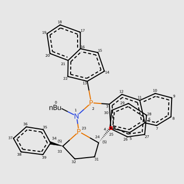 CCCCN(P(c1ccc2ccccc2c1)c1ccc2ccccc2c1)P1[C@H](c2ccccc2)CC[C@H]1c1ccccc1